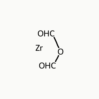 O=COC=O.[Zr]